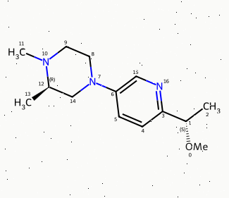 CO[C@@H](C)c1ccc(N2CCN(C)[C@H](C)C2)cn1